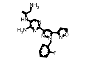 C=C(CN)Nc1cnc(-c2cc(-c3ccon3)n(Cc3ccccc3F)n2)nc1N